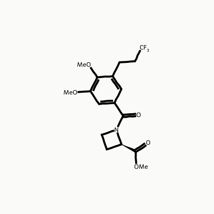 COC(=O)[C@H]1CCN1C(=O)c1cc(CCC(F)(F)F)c(OC)c(OC)c1